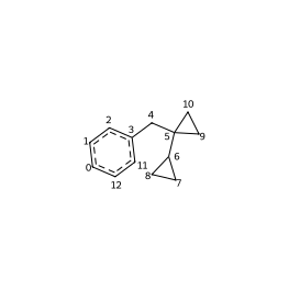 c1ccc(CC2(C3CC3)CC2)cc1